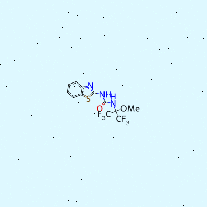 COC(NC(=O)Nc1nc2ccccc2s1)(C(F)(F)F)C(F)(F)F